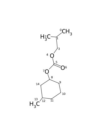 CC(C)COC(=O)OC1CCCC(C)C1